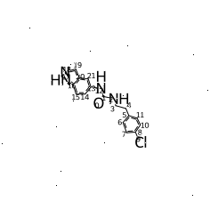 O=C(NCCc1ccc(Cl)cc1)Nc1ccc2[nH]ncc2c1